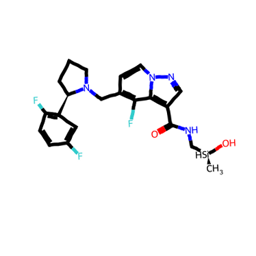 C[Si@H](O)CNC(=O)c1cnn2ccc(CN3CCC[C@@H]3c3cc(F)ccc3F)c(F)c12